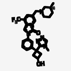 C[C@H]1CCCN(Cc2cc(C(F)(F)F)c3cn(-c4cccc([C@]5(c6nncn6C)C[C@H](O)C5)c4)c(=O)n3c2)C1